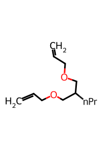 [CH2]CCC(COCC=C)COCC=C